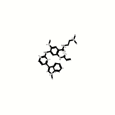 C=CC(=O)Nc1cc(Nc2nccc(-c3cn(C)c4ccccc34)n2)c(OC)cc1C(=O)NCCN(C)C